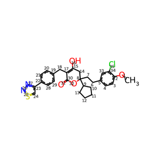 COc1ccc(CCC2(C3CCCC3)CC(O)=C(Cc3ccc(-c4csnn4)cc3)C(=O)O2)cc1Cl